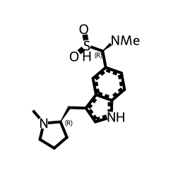 CN[C@@H](c1ccc2[nH]cc(C[C@H]3CCCN3C)c2c1)[SH](=O)=O